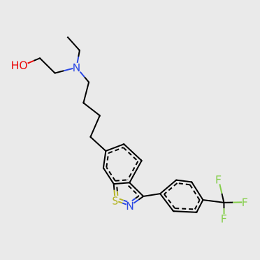 CCN(CCO)CCCCc1ccc2c(-c3ccc(C(F)(F)F)cc3)nsc2c1